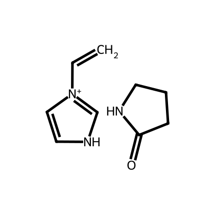 C=C[n+]1cc[nH]c1.O=C1CCCN1